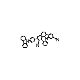 N#Cc1ccc2c3ccccc3n(-c3ccccc3-c3cccc(-c4ccc(-n5c6ccccc6c6ccccc65)cc4)c3C#N)c2c1